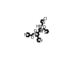 O=C(Cn1cc(-c2cccnc2)cc(-c2cc(NCc3ccc(Cl)s3)n(C(=O)c3cccs3)n2)c1=O)c1ccncc1